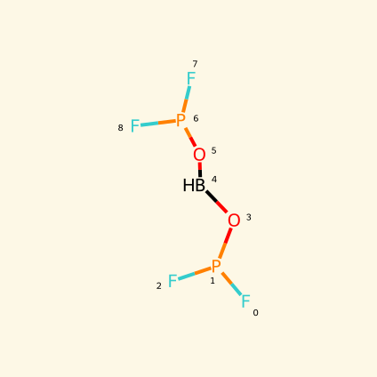 FP(F)OBOP(F)F